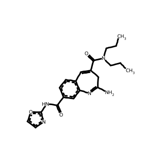 CCCN(CCC)C(=O)C1=Cc2ccc(C(=O)Nc3ncco3)cc2N=C(N)C1